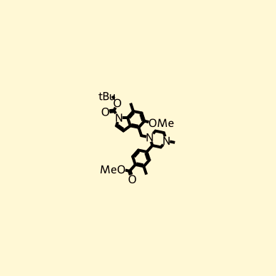 COC(=O)c1ccc(C2CN(C)CCN2Cc2c(OC)cc(C)c3c2ccn3C(=O)OC(C)(C)C)cc1C